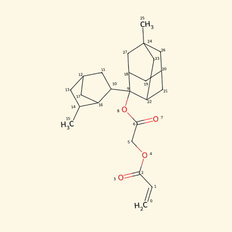 C=CC(=O)OCC(=O)OC1(C2CC3CC(C)C2C3)C2CC3CC1CC(C)(C3)C2